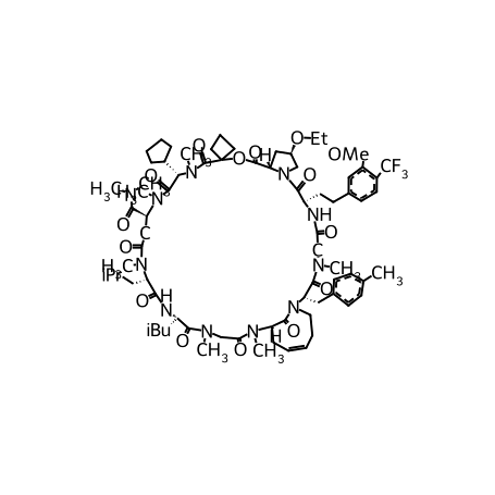 CCO[C@@H]1C[C@H]2C(=O)OC3(CCC3)C(=O)N(C)[C@@H](C3CCCC3)C(=O)N(C)[C@H](C(=O)N(C)C)CC(=O)N(C)[C@@H](CC(C)C)C(=O)N[C@@H]([C@@H](C)CC)C(=O)N(C)CC(=O)N(C)[C@H]3C/C=C\CCN(C3=O)[C@@H](Cc3ccc(C)cc3)C(=O)N(C)CC(=O)N[C@@H](CCc3ccc(C(F)(F)F)c(OC)c3)C(=O)N2C1